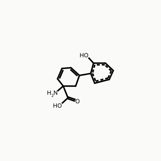 NC1(C(=O)O)C=CC=C(c2ccccc2O)C1